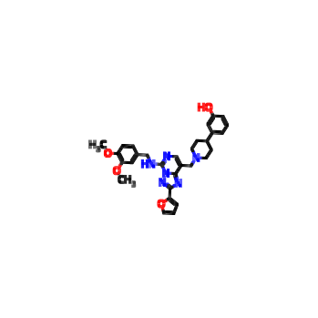 COc1ccc(CNc2ncc(CN3CCC(c4cccc(O)c4)CC3)c3nc(-c4ccco4)nn23)cc1OC